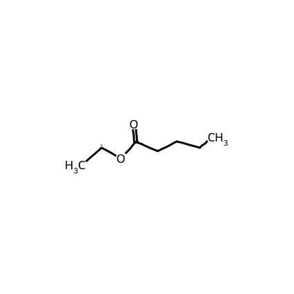 C[CH]OC(=O)CCCC